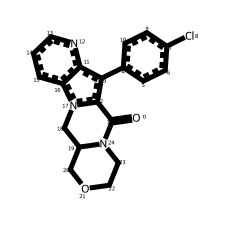 O=C1c2c(-c3ccc(Cl)cc3)c3ncccc3n2CC2COCCN12